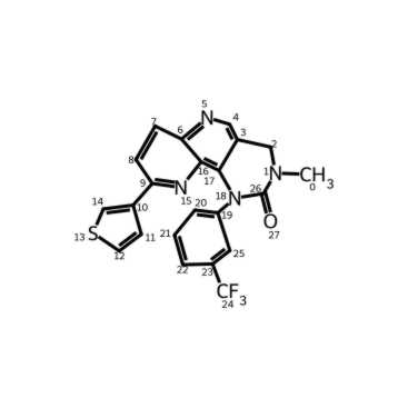 CN1Cc2cnc3ccc(-c4ccsc4)nc3c2N(c2cccc(C(F)(F)F)c2)C1=O